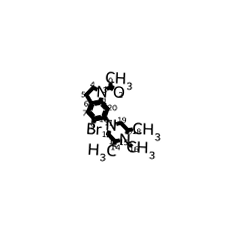 CC(=O)N1CCc2cc(Br)c(N3CC(C)N(C)C(C)C3)cc21